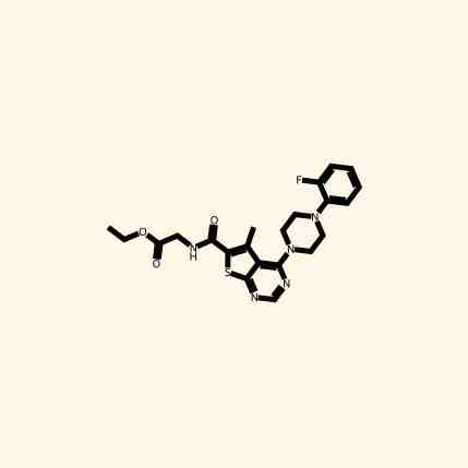 CCOC(=O)CNC(=O)c1sc2ncnc(N3CCN(c4ccccc4F)CC3)c2c1C